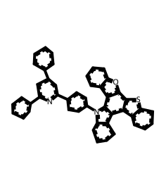 c1ccc(-c2cc(-c3ccccc3)nc(-c3ccc(-n4c5ccccc5c5c6c7ccccc7sc6c6oc7ccccc7c6c54)cc3)c2)cc1